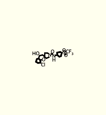 O=C(Nc1ccc(S(=O)(=O)C(F)(F)F)cc1)N1CCC2(CC1)CC(O)c1cccc(Cl)c1O2